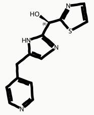 O[C@H](c1ncc(Cc2ccncc2)[nH]1)c1nccs1